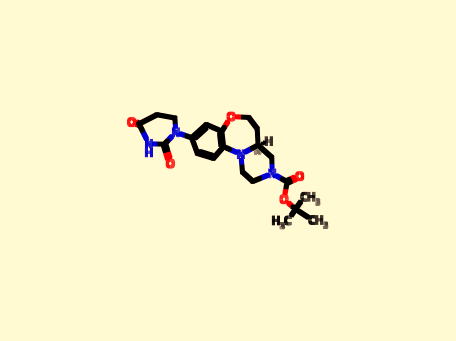 CC(C)(C)OC(=O)N1CCN2c3ccc(N4CCC(=O)NC4=O)cc3OCC[C@H]2C1